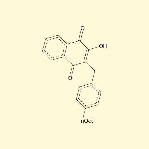 CCCCCCCCc1ccc(CC2=C(O)C(=O)c3ccccc3C2=O)cc1